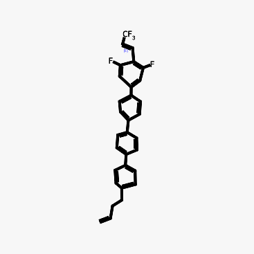 C=CCCc1ccc(-c2ccc(-c3ccc(-c4cc(F)c(/C=C/C(F)(F)F)c(F)c4)cc3)cc2)cc1